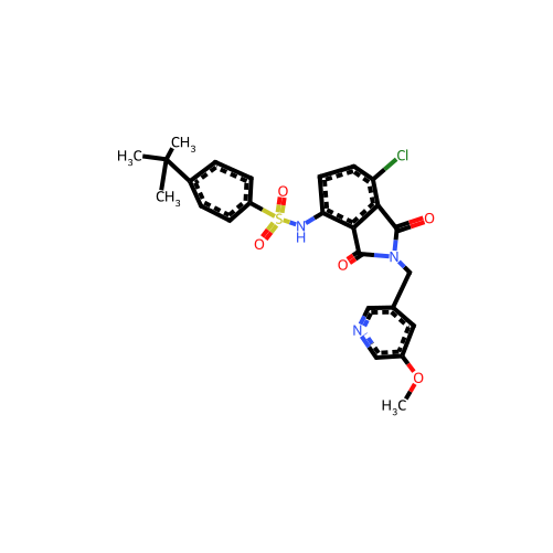 COc1cncc(CN2C(=O)c3c(Cl)ccc(NS(=O)(=O)c4ccc(C(C)(C)C)cc4)c3C2=O)c1